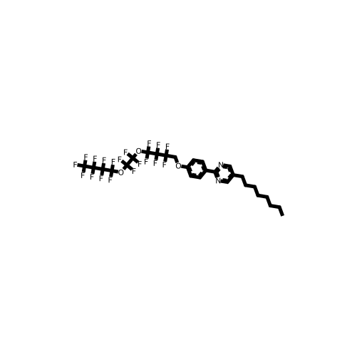 CCCCCCCCc1cnc(-c2ccc(OCC(F)(F)C(F)(F)C(F)(F)OC(F)(F)C(F)(F)OC(F)(F)C(F)(F)C(F)(F)C(F)(F)F)cc2)nc1